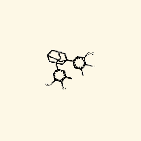 COc1cc(C23CC4CC(CC(c5cc(C)c(O)c(C=O)c5)(C4)C2)C3)cc(C)c1O